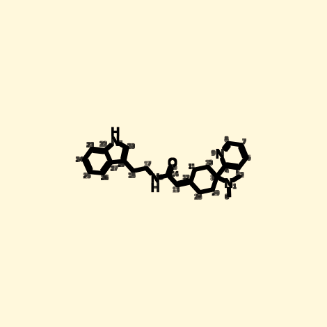 CN(C)C1(c2ccccn2)CCC(=CC(=O)NCCc2c[nH]c3ccccc23)CC1